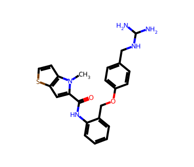 Cn1c(C(=O)Nc2ccccc2COc2ccc(CNC(N)N)cc2)cc2sccc21